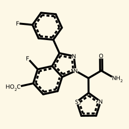 NC(=O)C(c1nccs1)n1nc(-c2cccc(F)c2)c2c(F)c(C(=O)O)ccc21